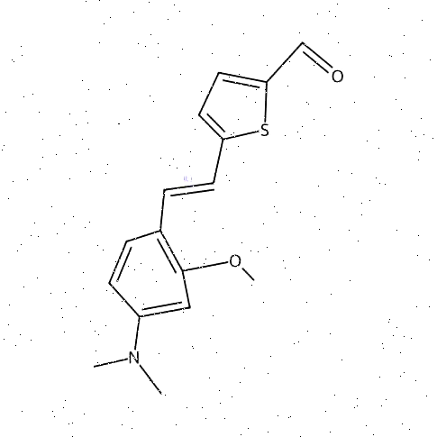 COc1cc(N(C)C)ccc1/C=C/c1ccc(C=O)s1